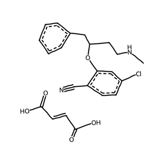 CNCCC(Cc1ccccc1)Oc1cc(Cl)ccc1C#N.O=C(O)C=CC(=O)O